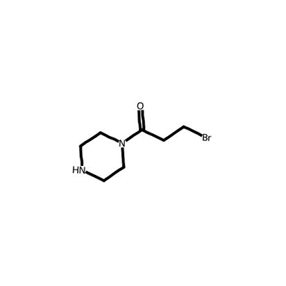 O=C(CCBr)N1CCNCC1